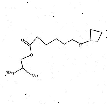 CCCCCCCCC(CCCCCCCC)COC(=O)CCCCCNC1CCC1